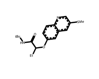 CCC(Oc1ccc2ncc(SC)cc2c1)C(=O)NC(C)(C)C